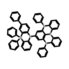 c1ccc(-c2ccc3c(c2)[Si](c2ccccc2)(c2ccccc2)c2ccccc2N3c2cc3c4c(c2)N(c2ccccc2)c2ccccc2B4c2ccccc2N3c2ccccc2)cc1